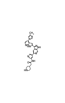 Cc1cn(-c2ccnc3[nH]c(-c4n[nH]c5cnc(-c6cncc(NC(=O)CC7CCNCC7)c6)cc45)cc23)cn1